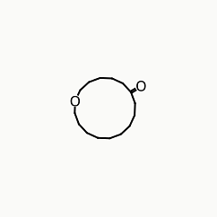 O=C1CCCCCCCCCOCCCCC1